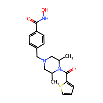 CC1CN(Cc2ccc(C(=O)NO)cc2)CC(C)N1C(=O)c1cccs1